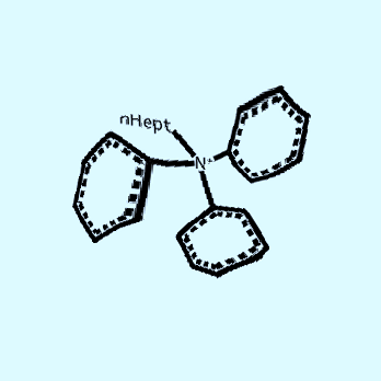 CCCCCCC[N+](c1ccccc1)(c1ccccc1)c1ccccc1